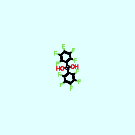 O[Si](O)(c1c(F)c(F)c(F)c(F)c1F)c1c(F)c(F)c(F)c(F)c1F